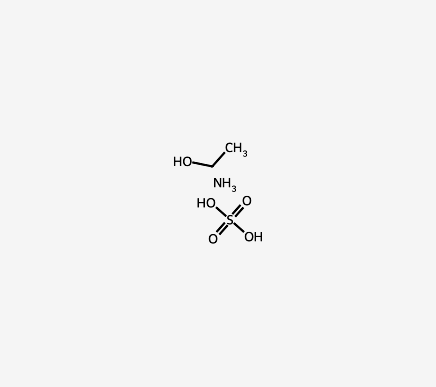 CCO.N.O=S(=O)(O)O